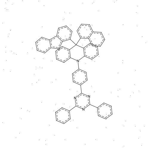 c1ccc(-c2nc(-c3ccccc3)nc(-c3ccc(N4c5ccccc5C(c5cccc6ccccc56)(c5cccc6c5oc5ccccc56)c5ccccc54)cc3)n2)cc1